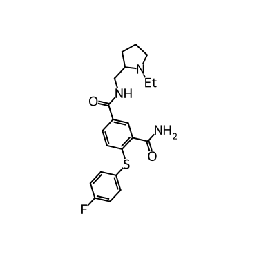 CCN1CCCC1CNC(=O)c1ccc(Sc2ccc(F)cc2)c(C(N)=O)c1